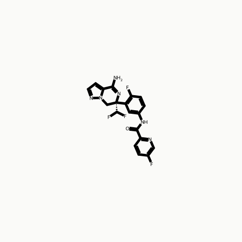 NC1=N[C@](c2cc(NC(=O)c3ccc(F)cn3)ccc2F)(C(F)F)Cn2nccc21